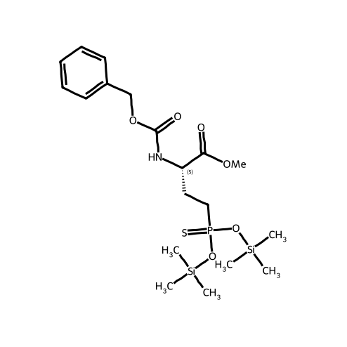 COC(=O)[C@H](CCP(=S)(O[Si](C)(C)C)O[Si](C)(C)C)NC(=O)OCc1ccccc1